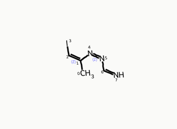 CC(=C/I)/N=N\C=N